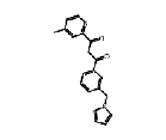 Cc1ccnc(C(=O)CC(=O)c2cccc(Cn3cccc3)c2)c1